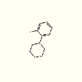 Cc1c[c]ccc1N1CCNCC1